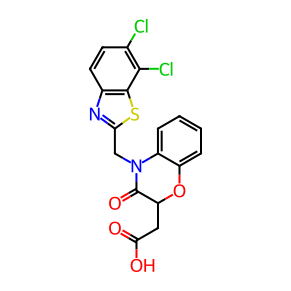 O=C(O)CC1Oc2ccccc2N(Cc2nc3ccc(Cl)c(Cl)c3s2)C1=O